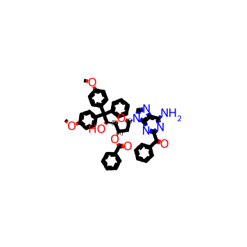 COc1ccc(C(c2ccccc2)(c2ccc(OC)cc2)C(O)[C@H]2O[C@H](n3cnc4c(N)nc(C(=O)c5ccccc5)nc43)C[C@H]2OC(=O)c2ccccc2)cc1